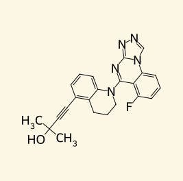 CC(C)(O)C#Cc1cccc2c1CCCN2c1nc2nncn2c2cccc(F)c12